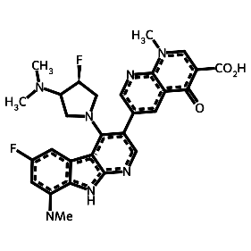 CNc1cc(F)cc2c1[nH]c1ncc(-c3cnc4c(c3)c(=O)c(C(=O)O)cn4C)c(N3CC(N(C)C)[C@@H](F)C3)c12